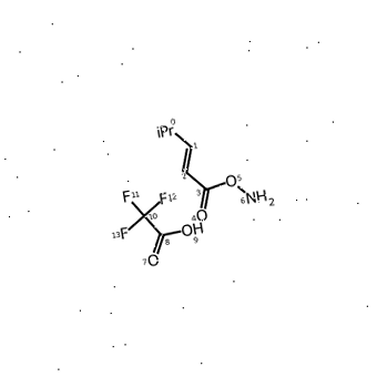 CC(C)C=CC(=O)ON.O=C(O)C(F)(F)F